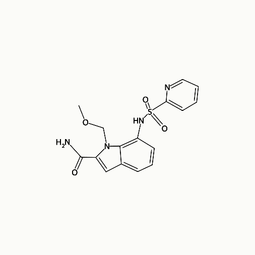 COCn1c(C(N)=O)cc2cccc(NS(=O)(=O)c3ccccn3)c21